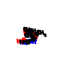 COc1cc2c(nc1OC)c(-c1cc3c(CNC4CCC(NC(=O)O)CC4)ccnc3n1S(=O)(=O)c1ccc(C)cc1)cn2C